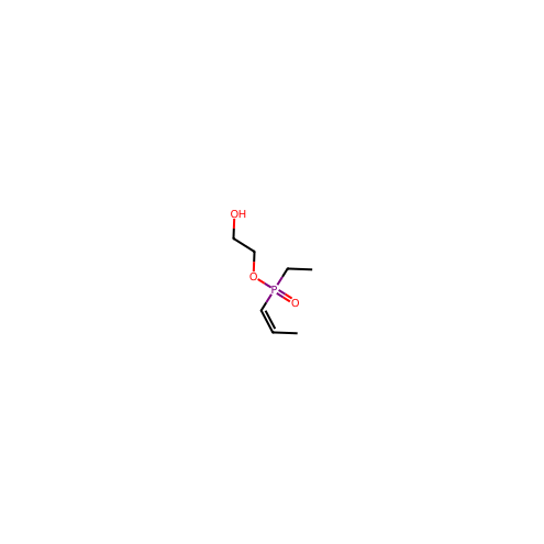 C/C=C\P(=O)(CC)OCCO